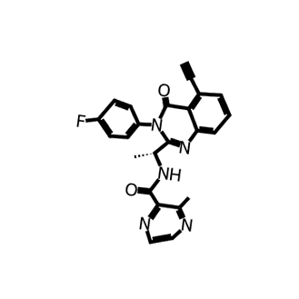 C#Cc1cccc2nc([C@@H](C)NC(=O)c3nccnc3C)n(-c3ccc(F)cc3)c(=O)c12